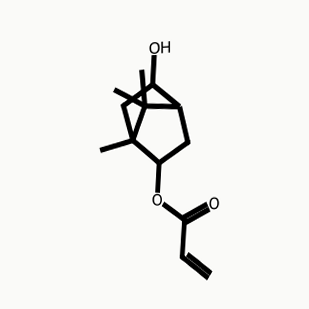 C=CC(=O)OC1CC2C(O)CC1(C)C2(C)C